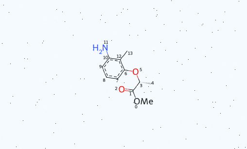 COC(=O)[C@@H](C)Oc1cccc(N)c1C